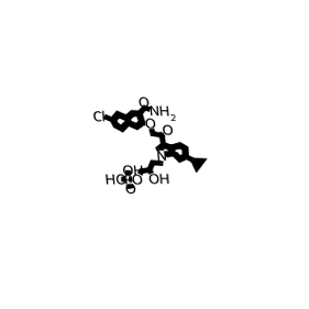 NC(=O)c1cc2cc(Cl)ccc2cc1OCC(=O)c1cn(CCC(O)COP(=O)(O)O)c2cc(C3CC3)ccc12